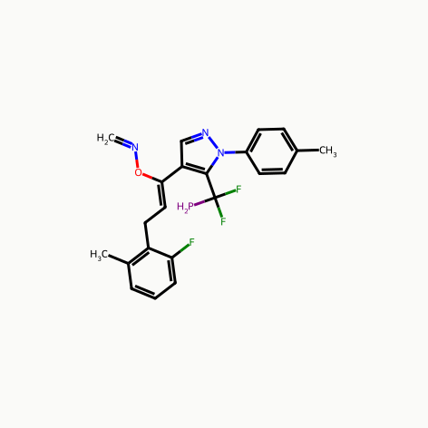 C=NO/C(=C\Cc1c(C)cccc1F)c1cnn(-c2ccc(C)cc2)c1C(F)(F)P